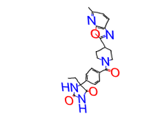 CCC1(c2ccc(C(=O)N3CCC(c4nc5ccc(C)nc5o4)CC3)cc2)NC(=O)NC1=O